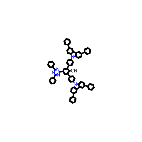 N#Cc1c(-c2ccc(-n3c4ccc(-c5ccccc5)cc4c4cc(-c5ccccc5)ccc43)cc2)cc(-c2nc(-c3ccccc3)nc(-c3ccccc3)n2)cc1-c1ccc(-n2c3ccc(-c4ccccc4)cc3c3cc(-c4ccccc4)ccc32)cc1